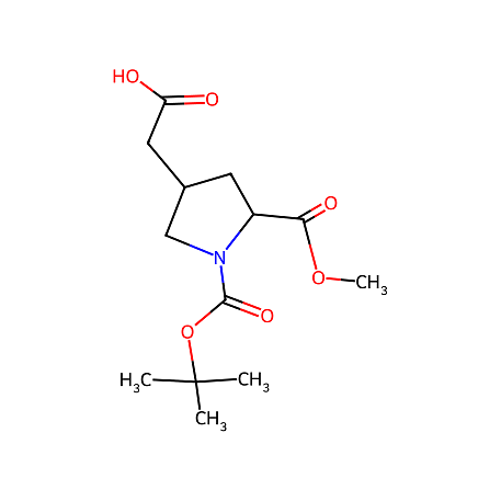 COC(=O)C1CC(CC(=O)O)CN1C(=O)OC(C)(C)C